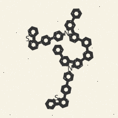 c1ccc(-c2ccc3c(c2)c2cc(-c4cccc(-c5cccc(-c6ccc7c(c6)c6cc(-c8ccccc8)ccc6n7-c6ccc(-c7ccc(-c8cccc9sc%10ccccc%10c89)cc7)cc6)c5)c4)ccc2n3-c2ccc(-c3ccc(-c4cccc5c4sc4ccccc45)cc3)cc2)cc1